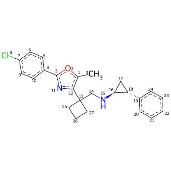 Cc1oc(-c2ccc(Cl)cc2)nc1C1(CN[C@H]2C[C@@H]2c2ccccc2)CCC1